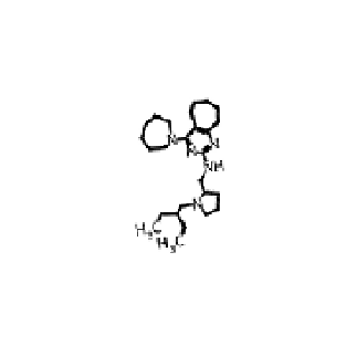 CCC(CC)CN1CCCC1CNc1nc2c(c(N3CCCCCC3)n1)CCCCC2